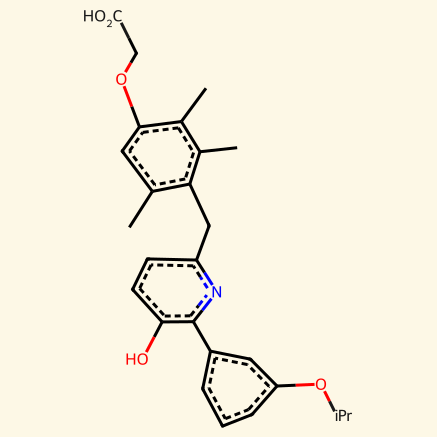 Cc1cc(OCC(=O)O)c(C)c(C)c1Cc1ccc(O)c(-c2cccc(OC(C)C)c2)n1